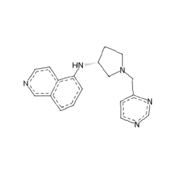 c1cc(N[C@@H]2CCN(Cc3ccncn3)C2)c2ccncc2c1